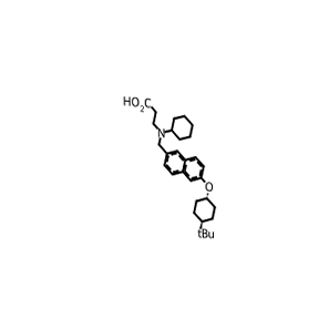 CC(C)(C)[C@H]1CC[C@H](Oc2ccc3cc(CN(CCC(=O)O)C4CCCCC4)ccc3c2)CC1